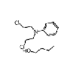 CCCCO.ClCCN(CCCl)c1ccccc1